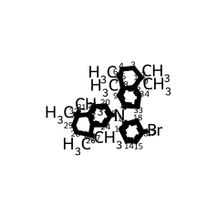 CC1(C)CCC(C)(C)c2cc(N(c3cccc(Br)c3)c3ccc4c(c3)C(C)(C)CCC4(C)C)ccc21